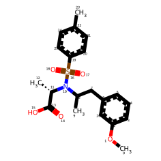 COc1cccc(CC(C)N([C@@H](C)C(=O)O)S(=O)(=O)c2ccc(C)cc2)c1